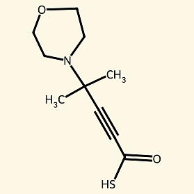 CC(C)(C#CC(=O)S)N1CCOCC1